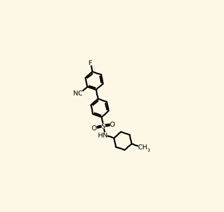 CC1CCC(NS(=O)(=O)c2ccc(-c3ccc(F)cc3C#N)cc2)CC1